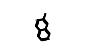 Cc1[c]cc2cc[c]cc2c1